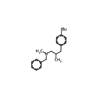 CC(Cc1ccc(C(C)(C)C)cc1)CN(C)Cc1ccccc1